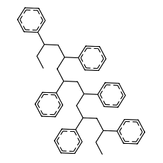 CCC(CC(CC(CC(CC(CC(CC)c1ccccc1)c1ccccc1)c1ccccc1)c1ccccc1)c1ccccc1)c1ccccc1